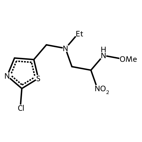 CCN(Cc1cnc(Cl)s1)CC(NOC)[N+](=O)[O-]